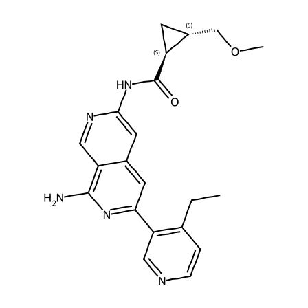 CCc1ccncc1-c1cc2cc(NC(=O)[C@H]3C[C@@H]3COC)ncc2c(N)n1